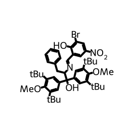 COc1c(C(C)(C)C)cc(C(O)(c2cc(C(C)(C)C)c(OC)c(C(C)(C)C)c2)C(Cc2ccccc2)N=Cc2cc([N+](=O)[O-])cc(Br)c2O)cc1C(C)(C)C